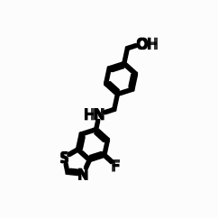 OCc1ccc(CNc2cc(F)c3ncsc3c2)cc1